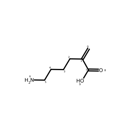 C=C(CCCCN)C(=O)O